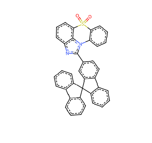 O=S1(=O)c2ccccc2-n2c(-c3ccc4c(c3)C3(c5ccccc5-c5ccccc53)c3ccccc3-4)nc3cccc1c32